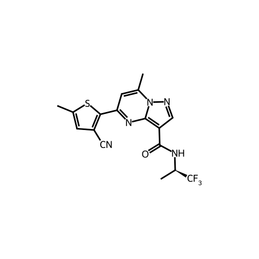 Cc1cc(C#N)c(-c2cc(C)n3ncc(C(=O)N[C@H](C)C(F)(F)F)c3n2)s1